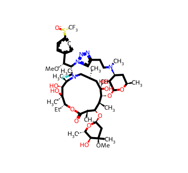 CC[C@H]1OC(=O)[C@H](C)[C@@H](O[C@H]2C[C@@](C)(OC)[C@@H](O)[C@H](C)O2)[C@H](C)[C@@H](O[C@@H]2O[C@H](C)C[C@H](N(C)CCc3cn([C@H](CF)[C@H](OC)c4ccc([S+]([O-])C(F)(F)F)cc4)nn3)[C@H]2O)[C@](C)(O)C[C@@H](C)CN(C)[C@H](C)[C@@H](O)[C@]1(C)O